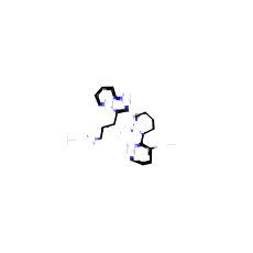 Cc1cccnc1C1CCC[C@@H](c2nc3ccccn3c2CCCN)N1C